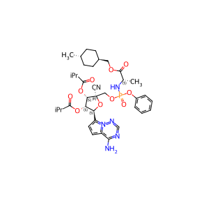 CC(C)C(=O)O[C@H]1[C@H](c2ccc3c(N)ncnn23)O[C@](C#N)(COP(=O)(N[C@@H](C)C(=O)OC[C@H]2CC[C@H](C)CC2)Oc2ccccc2)[C@H]1OC(=O)C(C)C